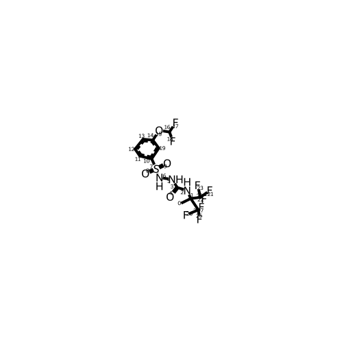 CC(NC(=O)NNS(=O)(=O)c1cccc(OC(F)F)c1)(C(F)(F)F)C(F)(F)F